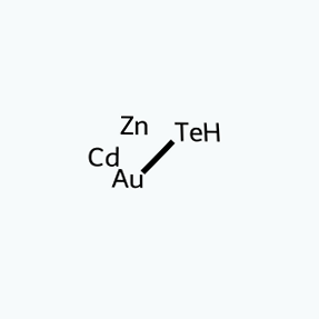 [Cd].[TeH][Au].[Zn]